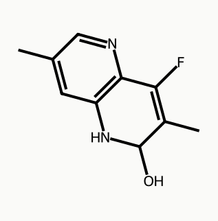 CC1=C(F)c2ncc(C)cc2NC1O